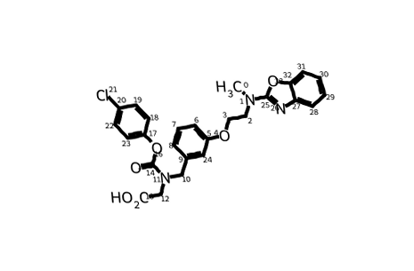 CN(CCOc1cccc(CN(CC(=O)O)C(=O)Oc2ccc(Cl)cc2)c1)c1nc2ccccc2o1